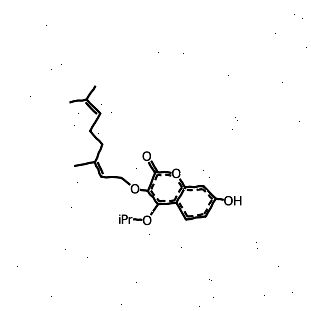 CC(C)=CCCC(C)=CCOc1c(OC(C)C)c2ccc(O)cc2oc1=O